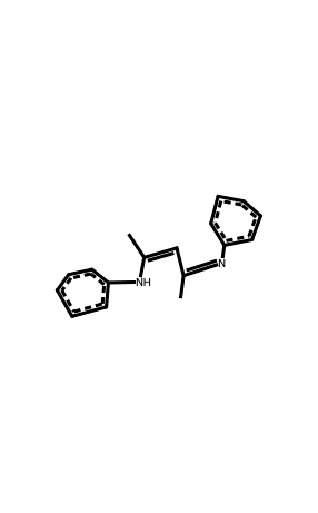 CC(=CC(C)=Nc1ccccc1)Nc1ccccc1